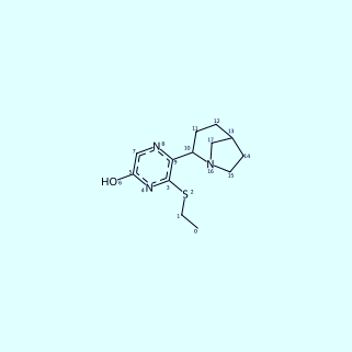 CCSc1nc(O)cnc1C1CCC2CCN1C2